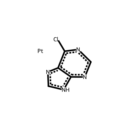 Clc1ncnc2[nH]cnc12.[Pt]